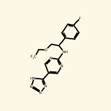 Fc1ccc(C(COCC(F)(F)F)Nc2ncc(-c3nnn[nH]3)cn2)cc1